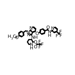 COc1ccc(Cn2nc(N[C@@H]3CCCNC3OC(=O)C(F)(F)F)c3c(Oc4ccc(C(=O)Nc5cc(C(F)(F)F)ccn5)cc4)ccnc32)cc1